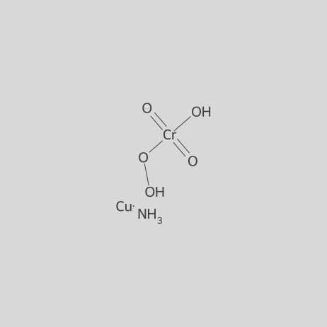 N.[Cu].[O]=[Cr](=[O])([OH])[O]O